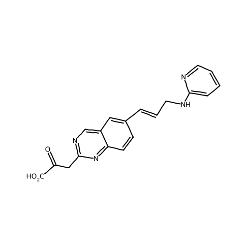 O=C(O)C(=O)Cc1ncc2cc(C=CCNc3ccccn3)ccc2n1